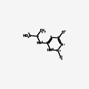 CC(NC1=CC(Cl)=NN(Cl)N1)S(=O)(=O)O